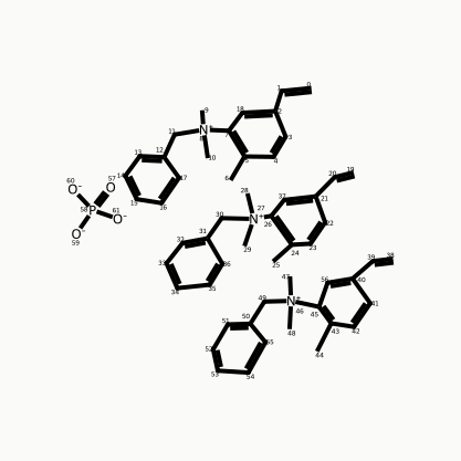 C=Cc1ccc(C)c([N+](C)(C)Cc2ccccc2)c1.C=Cc1ccc(C)c([N+](C)(C)Cc2ccccc2)c1.C=Cc1ccc(C)c([N+](C)(C)Cc2ccccc2)c1.O=P([O-])([O-])[O-]